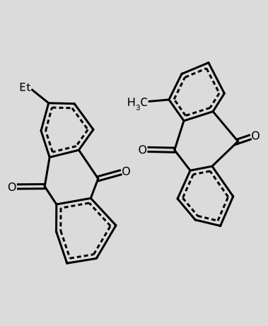 CCc1ccc2c(c1)C(=O)c1ccccc1C2=O.Cc1cccc2c1C(=O)c1ccccc1C2=O